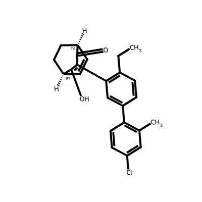 CCc1ccc(-c2ccc(Cl)cc2C)cc1C1=C(O)[C@H]2C=C[C@H](CC2)C1=O